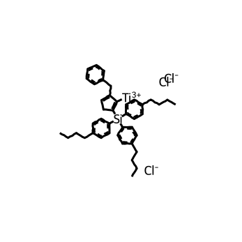 CCCCc1ccc([Si](C2=[C]([Ti+3])C(Cc3ccccc3)=CC2)(c2ccc(CCCC)cc2)c2ccc(CCCC)cc2)cc1.[Cl-].[Cl-].[Cl-]